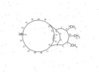 CC1CC2CCC(CC(C)C1C)C1C/C=C\C2CCCCCCNCCCCC1